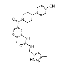 Cc1cc(CNC(=O)Nc2cc(C(=O)N3CCC(c4ccc(C#N)cc4)CC3)ccc2C)[nH]n1